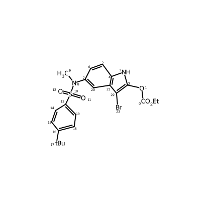 CCOC(=O)Oc1[nH]c2ccc(N(C)S(=O)(=O)c3ccc(C(C)(C)C)cc3)cc2c1Br